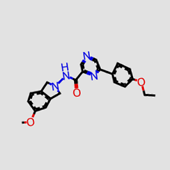 CCOc1ccc(-c2cncc(C(=O)NN3Cc4ccc(OC)cc4C3)n2)cc1